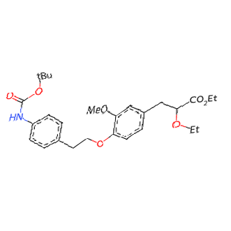 CCOC(=O)C(Cc1ccc(OCCc2ccc(NC(=O)OC(C)(C)C)cc2)c(OC)c1)OCC